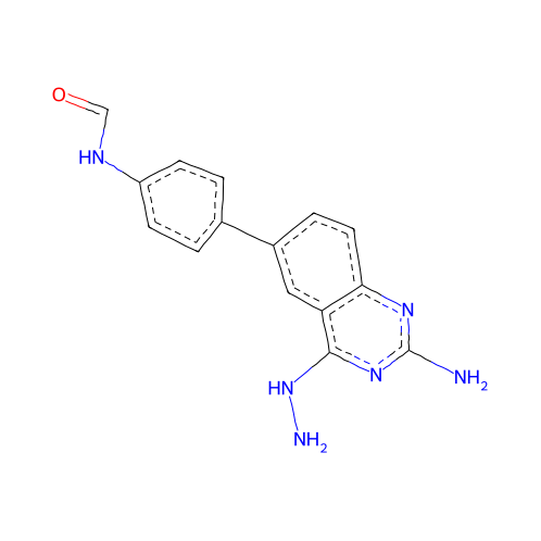 NNc1nc(N)nc2ccc(-c3ccc(NC=O)cc3)cc12